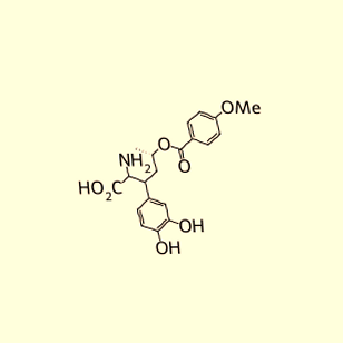 COc1ccc(C(=O)O[C@@H](C)CC(c2ccc(O)c(O)c2)C(N)C(=O)O)cc1